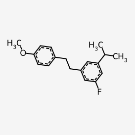 COc1ccc(CCc2cc(F)cc(C(C)C)c2)cc1